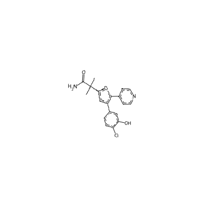 CC(C)(C(N)=O)c1cc(-c2ccc(Cl)c(O)c2)c(-c2ccncc2)o1